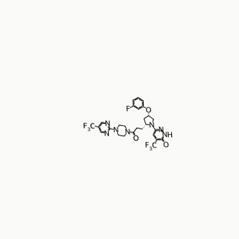 O=C(CC[C@@H]1C[C@H](Oc2cccc(F)c2)CN1c1cc(C(F)(F)F)c(=O)[nH]n1)N1CCN(c2ncc(C(F)(F)F)cn2)CC1